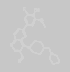 COc1cc(-c2ccc3ncc(C=O)c(N4CCC(CN5CCCC5)CC4)c3c2)cc(F)c1O